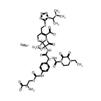 CCN1CCN(C(=O)N[C@@H](C(=O)N[C@]2(OC)C(=O)N3C(C(=O)[O-])=C(CSc4nnnn4C(C)N(C)C)CS[C@H]32)c2ccc(NC(=O)OC[C@@H](N)C(=O)[O-])cc2)C(=O)C1=O.[Na+].[Na+]